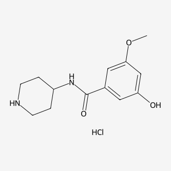 COc1cc(O)cc(C(=O)NC2CCNCC2)c1.Cl